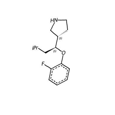 CC(C)C[C@H](Oc1ccccc1F)[C@H]1CCNC1